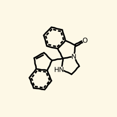 O=C1c2ccccc2C2(C3C=Cc4ccccc43)NCCN12